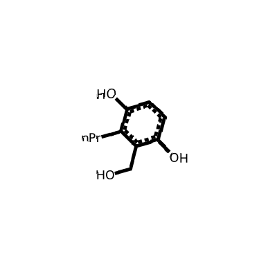 CCCc1c(O)ccc(O)c1CO